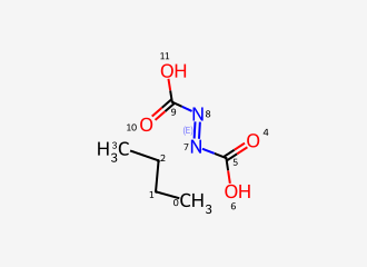 CCCC.O=C(O)/N=N/C(=O)O